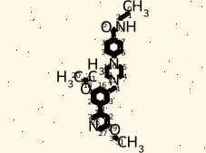 CCCNC(=O)c1ccc(N2CCN(Cc3cc(OC(C)C)cc(-c4cncc(OCC)c4)c3)CC2)cc1